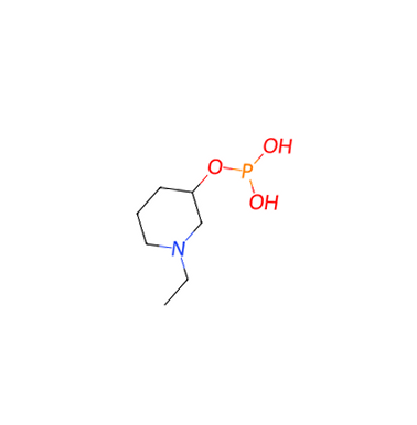 CCN1CCCC(OP(O)O)C1